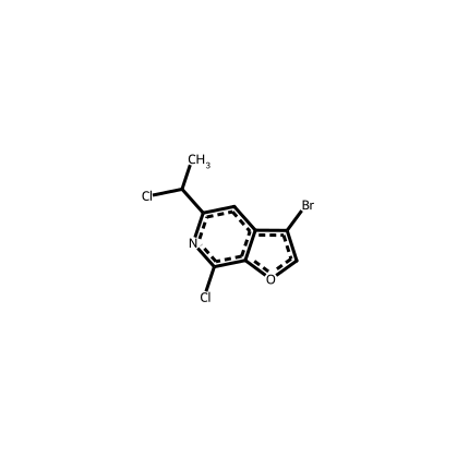 CC(Cl)c1cc2c(Br)coc2c(Cl)n1